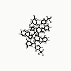 Cc1cc(C)cc(N(c2ccc(C(C)(C)C)cc2)c2cc3c(c4c2oc2ccccc24)-c2c(cc(N(c4ccc(C(C)(C)C)cc4)c4cc(C)cc(C)c4)c4c2sc2ccccc24)C32c3ccccc3-n3c4ccccc4c4cccc2c43)c1